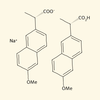 COc1ccc2cc([C@H](C)C(=O)O)ccc2c1.COc1ccc2cc([C@H](C)C(=O)[O-])ccc2c1.[Na+]